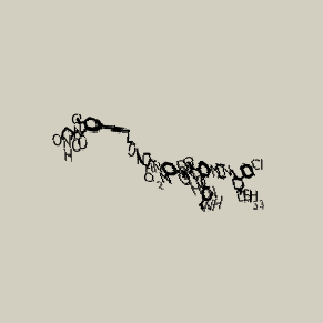 CC1(C)CCC(CN2CCN(c3ccc(C(=O)NS(=O)(=O)c4ccc(NCC5CCN(CCOCCCC#Cc6ccc7c(c6)C(=O)N(C6CCC(=O)NC6=O)C7=O)CC5)c([N+](=O)[O-])c4)c(Oc4cnc5[nH]ccc5c4)c3)CC2)=C(c2ccc(Cl)cc2)C1